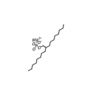 CCCCCCCCC(CCCCCCCC)COP(=O)([O-])[O-].[Mg+2]